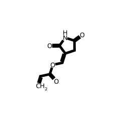 C=CC(=O)OC=C1CC(=O)NC1=O